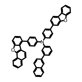 c1cc(-c2ccc3ccccc3c2)cc(N(c2ccc(-c3ccc4c(c3)oc3ccccc34)cc2)c2ccc(-c3cccc4oc5c6ccccc6ccc5c34)cc2)c1